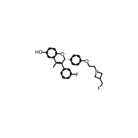 CC1=C(c2cccc(F)c2)[C@@H](c2ccc(OCCN3CC(CF)C3)cc2)Oc2ccc(O)cc21